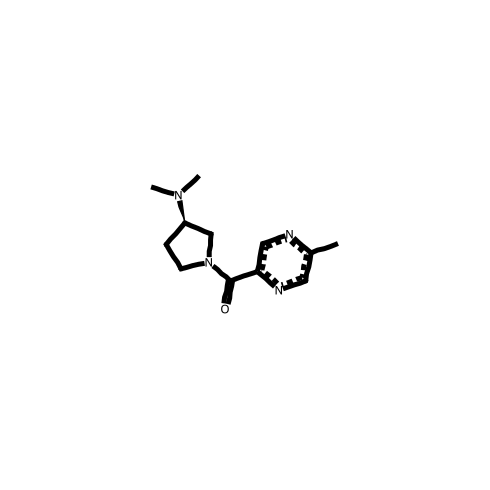 Cc1cnc(C(=O)N2CC[C@@H](N(C)C)C2)cn1